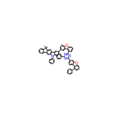 CC1(C)c2ccccc2-c2cc3c(cc21)c1cc(-c2ccc4oc5cccc(-c6nc(-c7ccccc7)nc(-c7ccc8c(c7)oc7cccc(-c9ccccc9)c78)n6)c5c4c2)ccc1n3-c1ccccc1